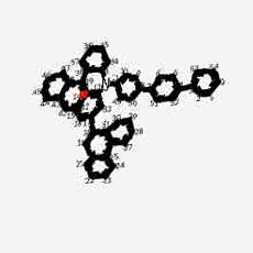 c1ccc(-c2ccc(-c3ccc(N(c4cccc(-c5cc6ccccc6c6ccccc56)c4)c4ccccc4-c4cccc5ccccc45)cc3)cc2)cc1